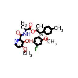 COc1cc(F)ccc1[C@@H](c1ccc(C)cc1)[C@H](C)OC(=O)[C@H](C)NC(=O)c1nccc(OC)c1O